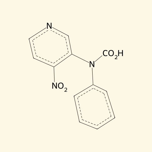 O=C(O)N(c1ccccc1)c1cnccc1[N+](=O)[O-]